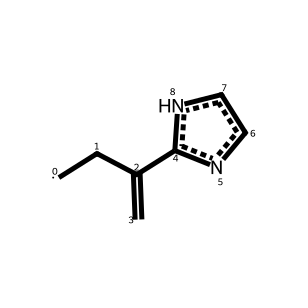 [CH2]CC(=C)c1ncc[nH]1